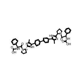 Cc1nc(C2CCCN2C(=O)C(NC(=O)O)c2ccccc2)[nH]c1-c1ccc(-c2ccc(-c3[nH]c([C@@H]4CCCN4C(=O)[C@H](NC(=O)O)c4ccccc4)nc3C)cc2)cc1